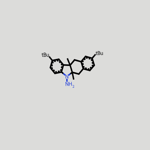 CC(C)(C)c1ccc2c(c1)CC1(C)c3cc(C(C)(C)C)ccc3N(N)C1(C)C2